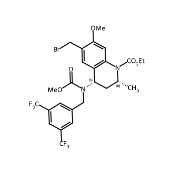 CCOC(=O)N1c2cc(OC)c(CBr)cc2[C@@H](N(Cc2cc(C(F)(F)F)cc(C(F)(F)F)c2)C(=O)OC)C[C@H]1C